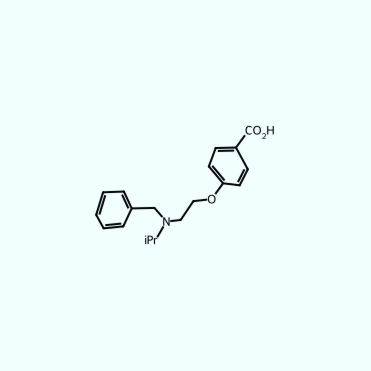 CC(C)N(CCOc1ccc(C(=O)O)cc1)Cc1ccccc1